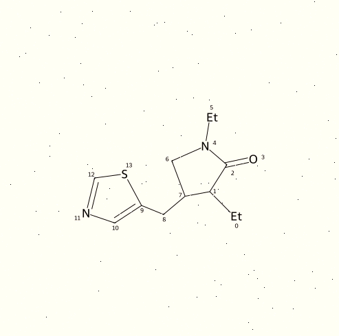 CCC1C(=O)N(CC)CC1Cc1cncs1